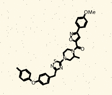 COc1ccc(-c2cc(C(=O)N3CCN(c4nc(Cc5ccc(Oc6ccc(C)cc6)cc5)ns4)CC3C)on2)cc1